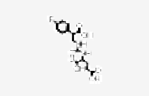 O=C(O)CCC(NC(=O)NCC(C(=O)O)c1ccc(F)cc1)C(=O)O